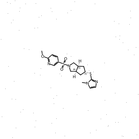 COc1ccc(S(=O)(=O)N2C[C@H]3C[C@H](Sc4nccn4C)C[C@H]3C2)cn1